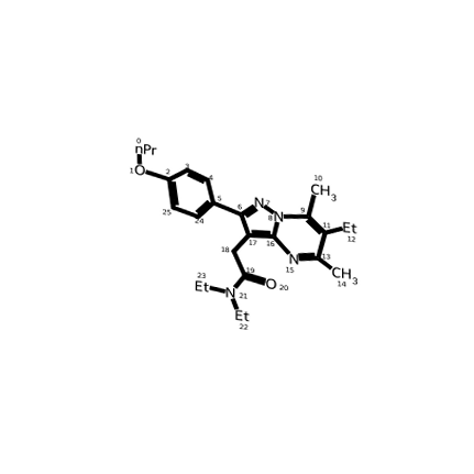 CCCOc1ccc(-c2nn3c(C)c(CC)c(C)nc3c2CC(=O)N(CC)CC)cc1